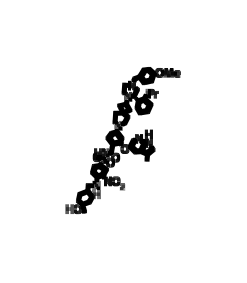 COc1ccc(CN2CCN(C3CC4(CCN(c5ccc(C(=O)NS(=O)(=O)c6ccc(NCC7CCC(C)(O)CC7)c([N+](=O)[O-])c6)c(Oc6cnc7[nH]cc(C)c7c6)c5)CC4)C3)[C@H](c3ccccc3C(C)C)C2)cc1